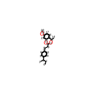 CCC(C)c1ccc(CCC(=O)OC(C)c2ccc(OC)cc2)cc1